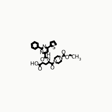 CCOC(=O)N1CCN(C(=O)C(CCC(=O)O)NC(=O)c2cc(-c3cccs3)nc(-c3ccccc3)n2)CC1